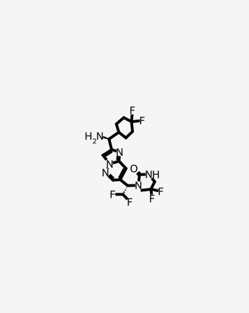 N[C@H](c1cn2ncc([C@@H](C(F)F)N3CC(F)(F)CNC3=O)cc2n1)C1CCC(F)(F)CC1